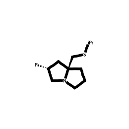 CC(C)SC[C@@]12CCCN1C[C@H](F)C2